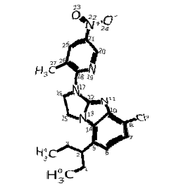 CCC(CC)c1ccc(Cl)c2nc3n(c12)CCN3c1ncc([N+](=O)[O-])cc1C